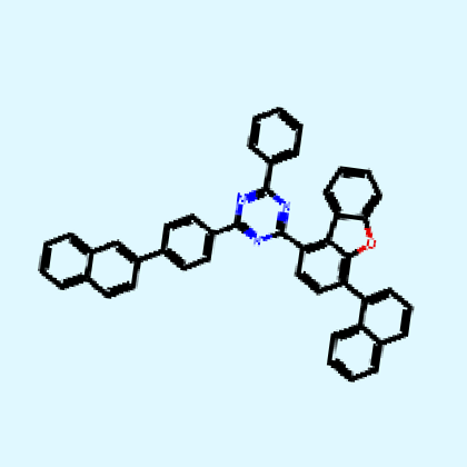 c1ccc(-c2nc(-c3ccc(-c4ccc5ccccc5c4)cc3)nc(-c3ccc(-c4cccc5ccccc45)c4oc5ccccc5c34)n2)cc1